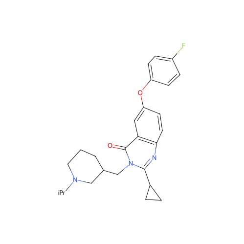 CC(C)N1CCCC(Cn2c(C3CC3)nc3ccc(Oc4ccc(F)cc4)cc3c2=O)C1